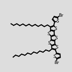 CCCCCCCCCCCCCc1c(-c2ccc(Br)s2)sc2c1sc1c2sc2c3sc(-c4ccc(Br)s4)c(CCCCCCCCCCCCC)c3sc21